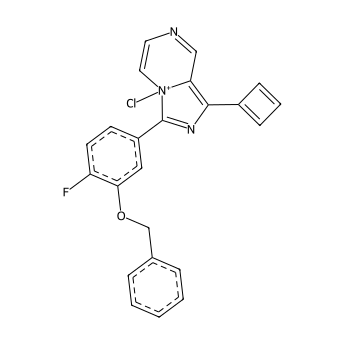 Fc1ccc(C2=NC(C3=CC=C3)=C3C=NC=C[N+]23Cl)cc1OCc1ccccc1